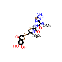 CO/N=C(\C(=O)N[C@@H]1C(=O)N2C(C(=O)[O-])=C(CSc3cc(=O)c4cc(O)c(O)cc4s3)CS[C@@H]12)c1nsc(N)n1.[Na+]